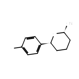 N#C[C@H]1CCC[C@@H](c2ccc(C(F)(F)F)cc2)O1